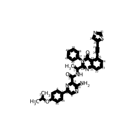 CC(C)Oc1ccc(-c2cnc(N)c(C(=O)NC(C)c3nc4cccc(C#Cc5cncs5)c4c(=O)n3-c3ccccc3)n2)cc1